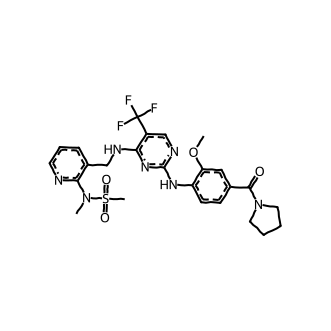 COc1cc(C(=O)N2CCCC2)ccc1Nc1ncc(C(F)(F)F)c(NCc2cccnc2N(C)S(C)(=O)=O)n1